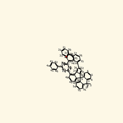 CC1(C)c2ccccc2C2(c3ccc(-c4cccc(-c5ccccc5)c4)cc3-c3c(-c4nc(-c5ccccc5)nc(-c5ccccc5)n4)cccc32)c2ccccc21